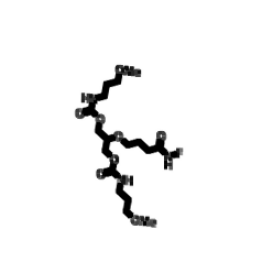 COCCCNC(=O)OCC(COC(=O)NCCCOC)OCCCC(=O)NF